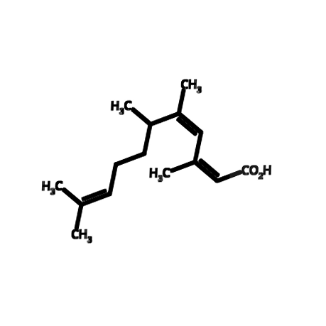 CC(C)=CCCC(C)C(C)=CC(C)=CC(=O)O